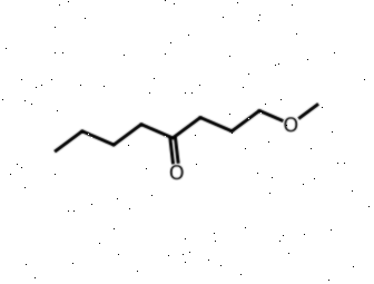 CCCCC(=O)CCCOC